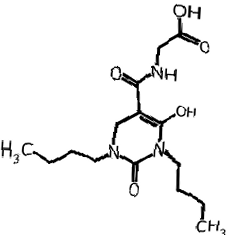 CCCCN1CC(C(=O)NCC(=O)O)=C(O)N(CCCC)C1=O